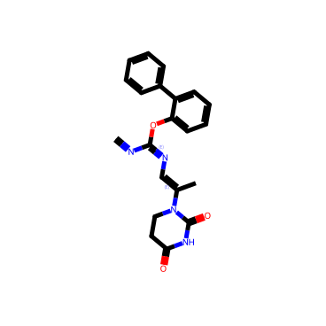 C=N/C(=N\C=C(/C)N1CCC(=O)NC1=O)Oc1ccccc1-c1ccccc1